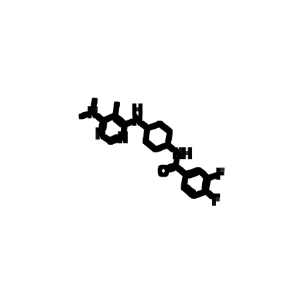 Cc1c(NC2CCC(NC(=O)c3ccc(F)c(F)c3)CC2)ncnc1N(C)C